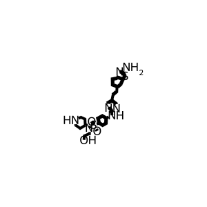 Nc1nc2ccc(C=Cc3cnc(Nc4ccc(S(=O)(=O)N(CCO)C5CCNCC5)cc4)nc3)cc2s1